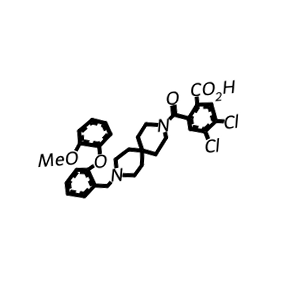 COc1ccccc1Oc1ccccc1CN1CCC2(CC1)CCN(C(=O)c1cc(Cl)c(Cl)cc1C(=O)O)CC2